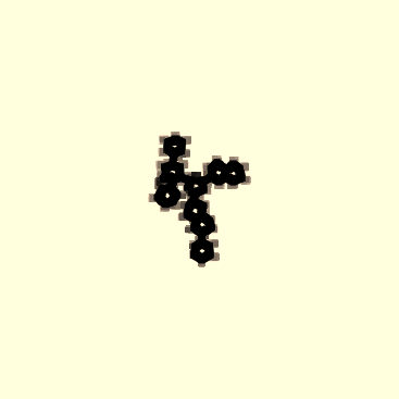 c1ccc(-c2ccc3cc(-c4cc(-c5ccc6ccccc6c5)nc(-c5cc(-c6ccccc6)cc6sc7ccccc7c56)n4)ccc3c2)cc1